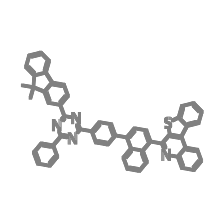 CC1(C)c2ccccc2-c2ccc(-c3nc(-c4ccccc4)nc(-c4ccc(-c5ccc(-c6nc7ccccc7c7c6sc6ccccc67)c6ccccc56)cc4)n3)cc21